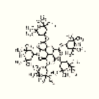 CC1(C)CC(OC(=O)C2CC(C(=O)OC3CC(C)(C)NC(C)(C)C3)C(C(=O)OC3CC(C)(C)NC(C)(C)C3)C(C(=O)OC3CC(C)(C)NC(C)(C)C3)C2C(=O)OC2CC(C)(C)NC(C)(C)C2)CC(C)(C)N1